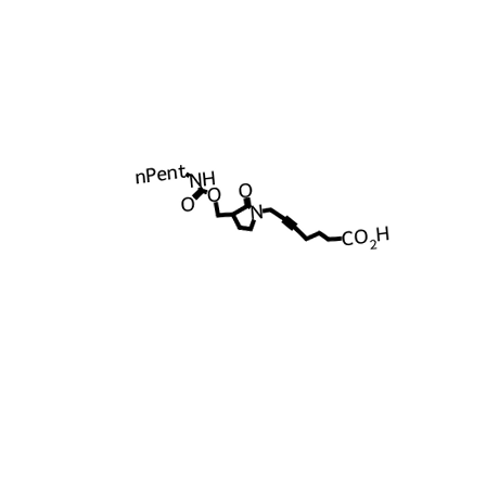 CCCCCNC(=O)OCC1CCN(CC#CCCCC(=O)O)C1=O